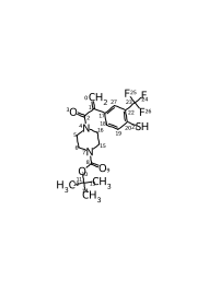 C=C(C(=O)N1CCN(C(=O)OC(C)(C)C)CC1)c1ccc(S)c(C(F)(F)F)c1